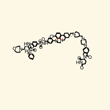 C[C@@]1(CN2CCC(CN3CCN(c4ccc5c(c4)CN(C4CCC(=O)NC4=O)C5=O)CC3)CC2)CCC(c2ccc(Cl)cc2)=C(CN2CCN(c3ccc(C(=O)NS(=O)(=O)c4ccc(N[C@H](CCN5CCCOCC5)CSc5ccccc5)c(S(=O)(=O)C(F)(F)F)c4)cc3)CC2)C1